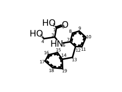 O=C(O)C(CO)Nc1ccccc1Cc1ccccc1